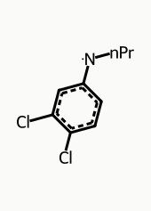 CCC[N]c1ccc(Cl)c(Cl)c1